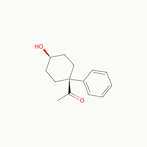 CC(=O)[C@]1(c2ccccc2)CC[C@H](O)CC1